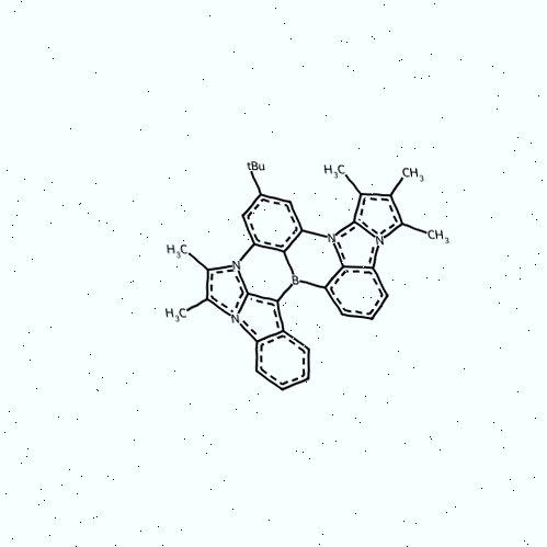 Cc1c(C)c2n3c4c(cccc4n2c1C)B1c2c(cc(C(C)(C)C)cc2-3)-n2c(C)c(C)n3c4ccccc4c1c23